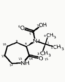 CC(C)(C)N(C(=O)O)[C@@H]1CCCCNC1=O